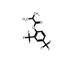 CC(C)C(=O)Oc1ccc(C(F)(F)F)cc1C(F)(F)F